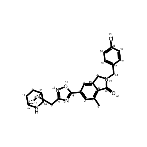 Cc1cc(-c2nc(CN3CC4CCC3CN4)no2)cc2c1C(=O)N(Cc1ccc(Cl)cc1)C2